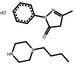 CC1=NN(c2ccccc2)C(=O)C1.CCCCN1CCNCC1.Cl